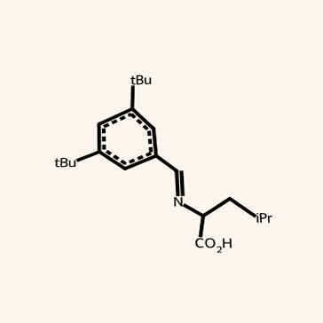 CC(C)CC(N=Cc1cc(C(C)(C)C)cc(C(C)(C)C)c1)C(=O)O